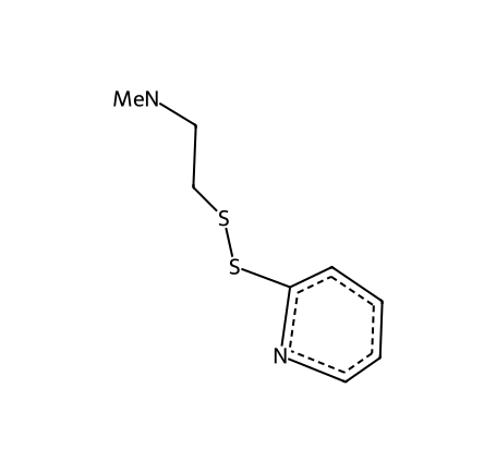 CNCCSSc1ccccn1